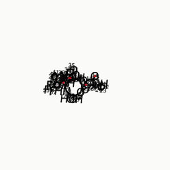 CC[C@H]1OC(=O)[C@H](C)[C@@H](O[C@H]2C[C@@](C)(OC)[C@](O)(CN3CCCCC3)[C@H](C)O2)[C@H](C)[C@@H](O[C@@H]2O[C@H](C)C[C@H](N(Cc3cccnc3)S(=O)(=O)Nc3ccc(C(F)(F)F)cc3)[C@H]2O)[C@](C)(O)C[C@@H](C)CN[C@H](C)[C@@H](O)[C@]1(C)O